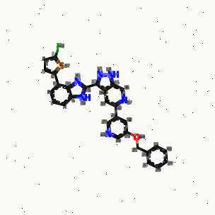 Fc1ccc(-c2cccc3[nH]c(-c4n[nH]c5cnc(-c6cncc(OCc7ccccc7)c6)cc45)nc23)s1